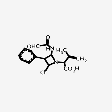 C=C(C)C(C(=O)O)N1C(Cl)C(c2ccccc2)C1NC(=O)C=O